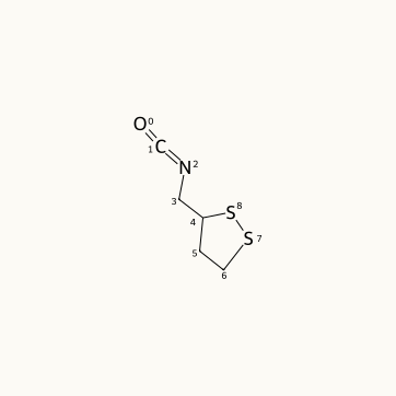 O=C=NCC1CCSS1